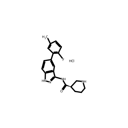 Cc1ccc(F)c(-c2ccc3[nH]nc(NC(=O)[C@@H]4CCCNC4)c3c2)c1.Cl